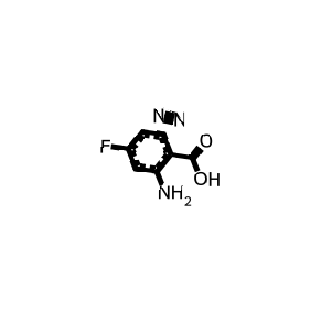 N#N.Nc1cc(F)ccc1C(=O)O